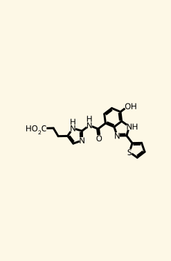 O=C(O)CCc1cnc(NC(=O)c2ccc(O)c3[nH]c(-c4cccs4)nc23)[nH]1